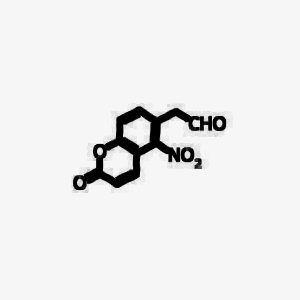 O=CCc1ccc2oc(=O)ccc2c1[N+](=O)[O-]